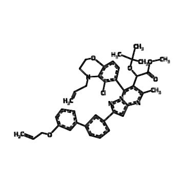 C=CCOc1cccc(-c2cccc(-c3cc4nc(C)c(C(OC(C)(C)C)C(=O)OC)c(-c5ccc6c(c5Cl)N(CC=C)CCO6)n4n3)c2)c1